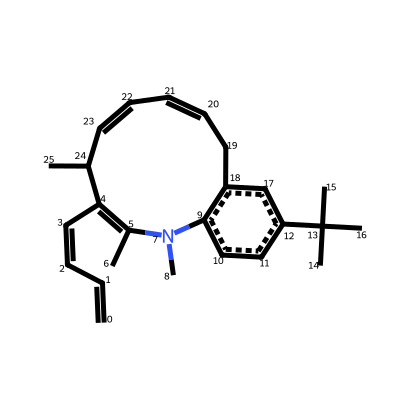 C=C/C=C\C1=C(/C)N(C)c2ccc(C(C)(C)C)cc2C/C=C\C=C/C1C